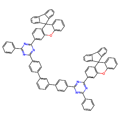 c1ccc(-c2nc(-c3ccc(-c4cccc(-c5ccc(-c6nc(-c7ccccc7)nc(-c7ccc8c(c7)Oc7ccccc7C87c8ccccc8-c8ccccc87)n6)cc5)c4)cc3)nc(-c3ccc4c(c3)Oc3ccccc3C43c4ccccc4-c4ccccc43)n2)cc1